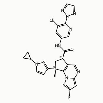 C[C@@]1(c2ccn(C3CC3)n2)C[C@@H](C(=O)Nc2cnc(-n3nccn3)c(Cl)c2)c2cnc3cc(F)nn3c21